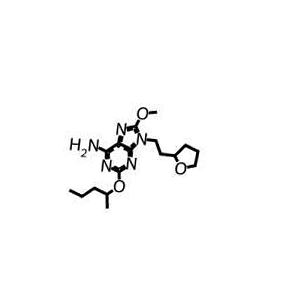 CCCC(C)Oc1nc(N)c2nc(OC)n(CCC3CCCO3)c2n1